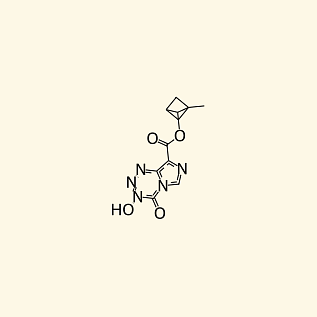 CC12CC(C1)C2OC(=O)c1ncn2c(=O)n(O)nnc12